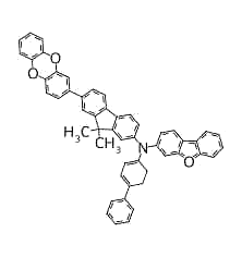 CC1(C)c2cc(-c3ccc4c(c3)Oc3ccccc3O4)ccc2-c2ccc(N(C3=CC=C(c4ccccc4)CC3)c3ccc4c(c3)oc3ccccc34)cc21